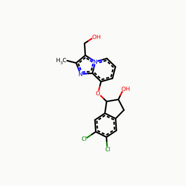 Cc1nc2c(OC3c4cc(Cl)c(Cl)cc4CC3O)cccn2c1CO